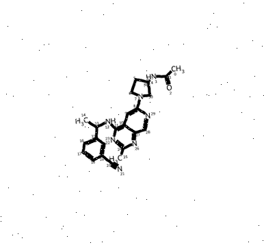 CC(=O)N[C@@H]1CCN(c2cc3c(NC(C)c4cccc(C#N)c4)nc(C)nc3cn2)C1